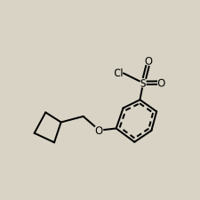 O=S(=O)(Cl)c1cccc(OCC2CCC2)c1